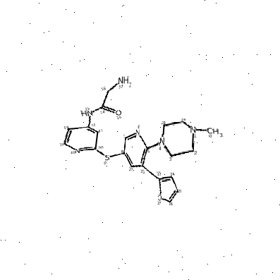 CN1CCN(c2ncc(Sc3cc(NC(=O)CN)ccn3)cc2-c2ccco2)CC1